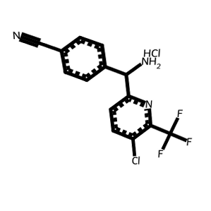 Cl.N#Cc1ccc(C(N)c2ccc(Cl)c(C(F)(F)F)n2)cc1